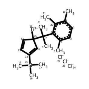 Cc1ccc(C)c(C(C)(C)[C]2([Ti+3])C=CC([Si](C)(C)C)=C2)c1C.[Cl-].[Cl-].[Cl-]